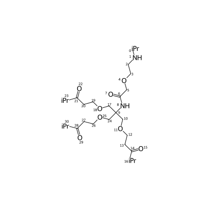 CC(C)NCCOCC(=O)NC(COCCC(=O)C(C)C)(COCCC(=O)C(C)C)COCCC(=O)C(C)C